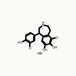 Br.Oc1ccc(C2CNCCc3c2cc(O)c(O)c3Cl)cc1Cl